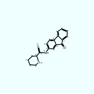 O=C1c2ccccc2-c2ccc(NC(=O)C3CCCCO3)cc21